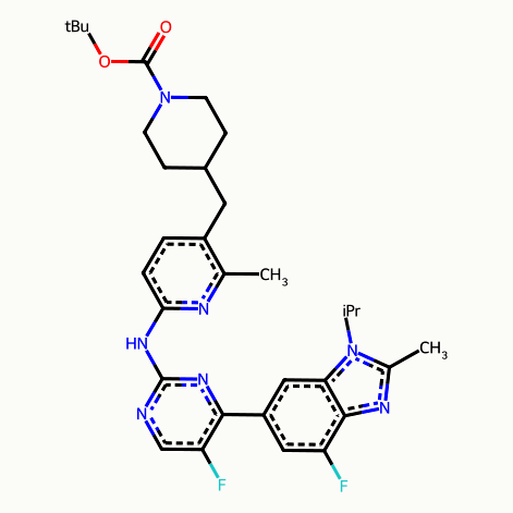 Cc1nc(Nc2ncc(F)c(-c3cc(F)c4nc(C)n(C(C)C)c4c3)n2)ccc1CC1CCN(C(=O)OC(C)(C)C)CC1